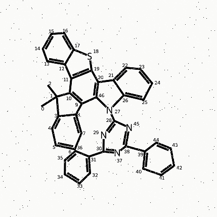 CC1(C)c2ccccc2-c2c1c1c3ccccc3sc1c1c3ccccc3n(-c3nc(-c4ccccc4)nc(-c4ccccc4)n3)c21